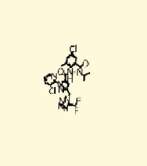 Cc1cc(Cl)cc(C(=O)NC(C)C)c1NC(=O)c1cc(Cn2nnnc2C(F)F)nn1-c1ncccc1Cl